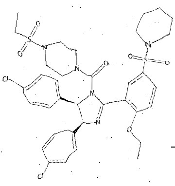 CCOc1ccc(S(=O)(=O)N2CCCCC2)cc1C1=N[C@@H](c2ccc(Cl)cc2)[C@@H](c2ccc(Cl)cc2)N1C(=O)N1CCN(S(=O)(=O)CC)CC1